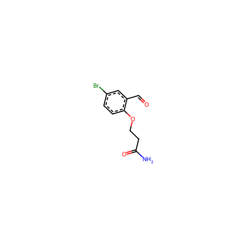 NC(=O)CCOc1ccc(Br)cc1C=O